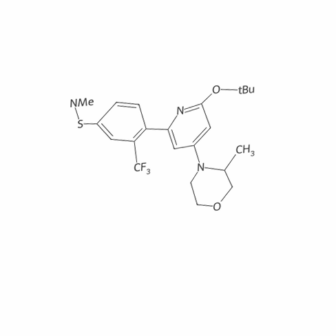 CNSc1ccc(-c2cc(N3CCOCC3C)cc(OC(C)(C)C)n2)c(C(F)(F)F)c1